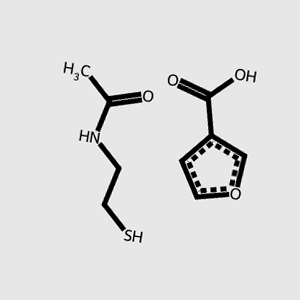 CC(=O)NCCS.O=C(O)c1ccoc1